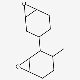 C[C]1CCC2OC2C1C1CCC2OC2C1